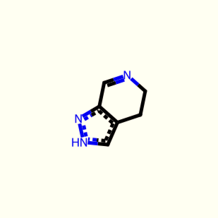 C1=NCCc2c[nH]nc21